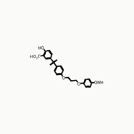 COc1ccc(OCCCOc2ccc(C(C)(C)c3ccc(O)c(C(=O)O)c3)cc2)cc1